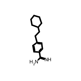 N=C(N)c1ccc(CCC2CCCCC2)cc1